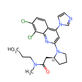 CN(CCC(=O)O)C(=O)C[C@@H]1CCCN1c1cc(-n2ccnc2)c2ccc(Cl)c(Cl)c2n1